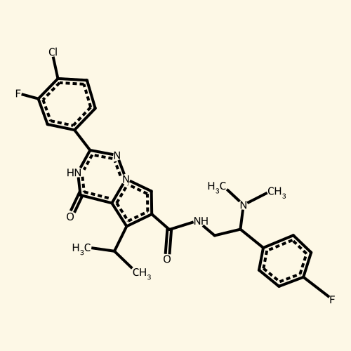 CC(C)c1c(C(=O)NCC(c2ccc(F)cc2)N(C)C)cn2nc(-c3ccc(Cl)c(F)c3)[nH]c(=O)c12